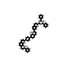 C1=CC2=CC=C(c3ccc4ccc(C5=NC(c6ccccc6)NC(c6ccccc6)=N5)nc4c3)NC2C=C1C1=CCC(c2ccc3ccc4c(c3n2)NC(c2ccccc2)C=C4)C=C1